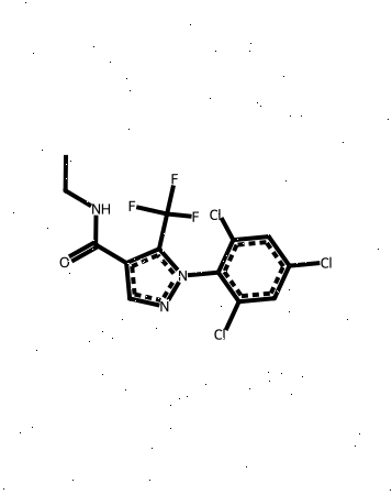 CCNC(=O)c1cnn(-c2c(Cl)cc(Cl)cc2Cl)c1C(F)(F)F